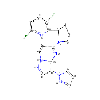 Fc1ccc(F)c(C2CCCN2c2ccn3ncc(-n4cccn4)c3n2)n1